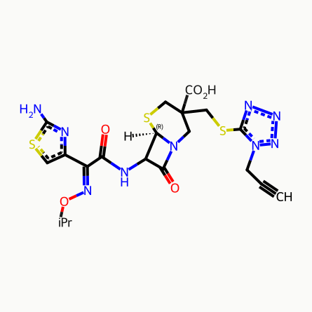 C#CCn1nnnc1SCC1(C(=O)O)CS[C@@H]2C(NC(=O)C(=NOC(C)C)c3csc(N)n3)C(=O)N2C1